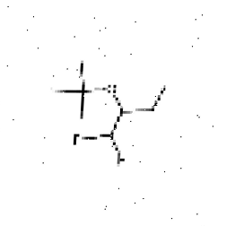 CCC(OC(C)(C)C)C(F)F